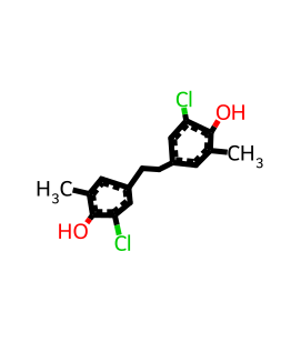 Cc1cc(CCc2cc(C)c(O)c(Cl)c2)cc(Cl)c1O